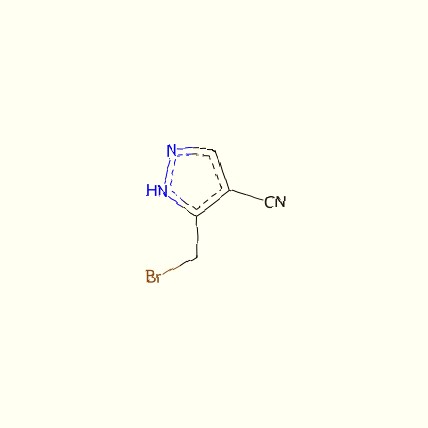 N#Cc1cn[nH]c1CBr